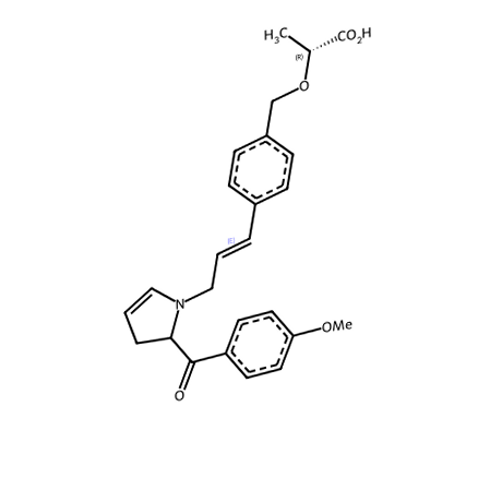 COc1ccc(C(=O)C2CC=CN2C/C=C/c2ccc(CO[C@H](C)C(=O)O)cc2)cc1